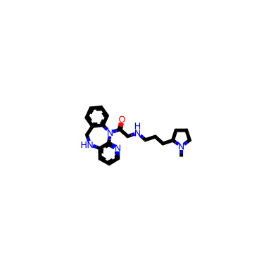 CN1CCCC1CCCNCC(=O)N1c2ccccc2CNc2cccnc21